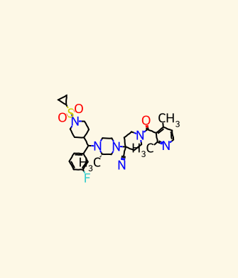 Cc1ccnc(C)c1C(=O)N1CCC(C#N)(N2CCN(C(c3cccc(F)c3)C3CCN(S(=O)(=O)C4CC4)CC3)[C@@H](C)C2)CC1